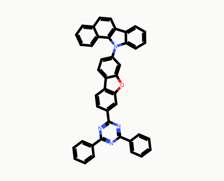 c1ccc(-c2nc(-c3ccccc3)nc(-c3ccc4c(c3)oc3cc(-n5c6ccccc6c6ccc7ccccc7c65)ccc34)n2)cc1